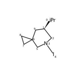 CC(C)[C@H]1CN(I)CC2(CC2)C1